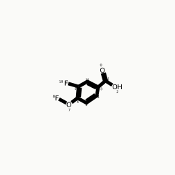 O=C(O)c1ccc(OF)c(F)c1